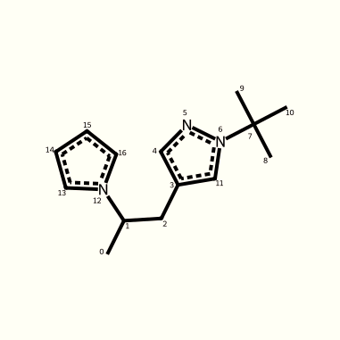 CC(Cc1cnn(C(C)(C)C)c1)n1cccc1